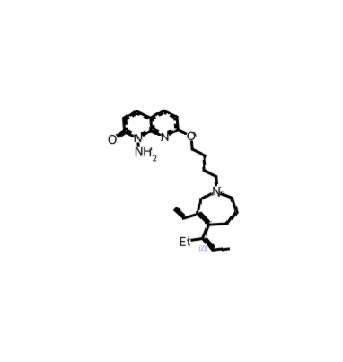 C=CC1=C(/C(=C\C)CC)CCCN(CCCCOc2ccc3ccc(=O)n(N)c3n2)C1